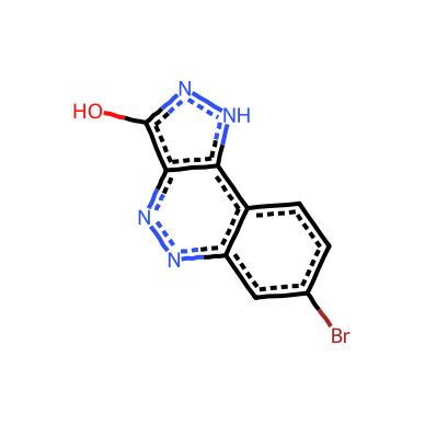 Oc1n[nH]c2c1nnc1cc(Br)ccc12